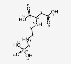 O=C(O)CC(NCCNCP(=O)(O)O)C(=O)O